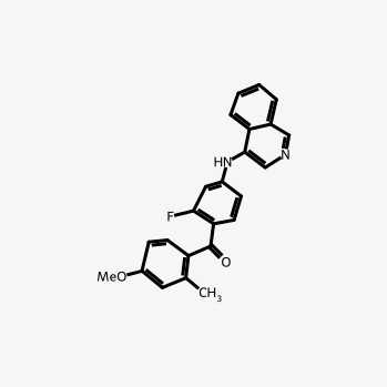 COc1ccc(C(=O)c2ccc(Nc3cncc4ccccc34)cc2F)c(C)c1